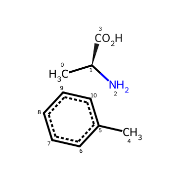 C[C@H](N)C(=O)O.Cc1ccccc1